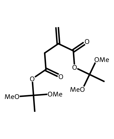 C=C(CC(=O)OC(C)(OC)OC)C(=O)OC(C)(OC)OC